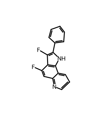 Fc1cc2ncccc2c2[nH]c(-c3ccccc3)c(F)c12